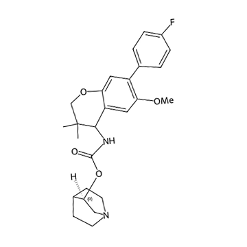 COc1cc2c(cc1-c1ccc(F)cc1)OCC(C)(C)C2NC(=O)O[C@H]1CN2CCC1CC2